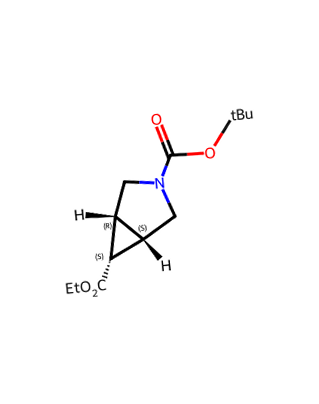 CCOC(=O)[C@@H]1[C@@H]2CN(C(=O)OC(C)(C)C)C[C@@H]21